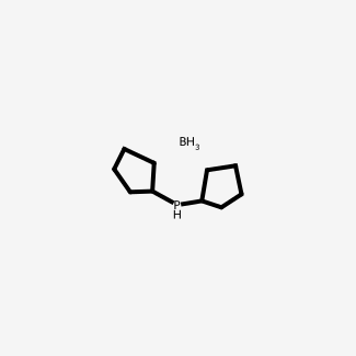 B.C1CCC(PC2CCCC2)C1